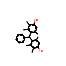 Cc1cc(O)c(C)c(C)c1C(c1ccccc1)c1c(C)cc(O)c(C)c1C